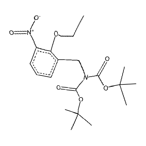 CCOc1c(CN(C(=O)OC(C)(C)C)C(=O)OC(C)(C)C)cccc1[N+](=O)[O-]